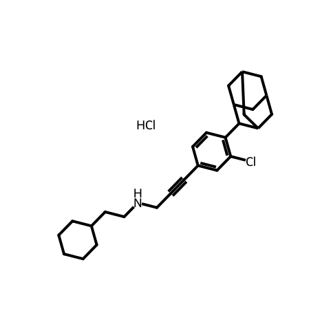 Cl.Clc1cc(C#CCNCCC2CCCCC2)ccc1C1C2CC3CC(C2)CC1C3